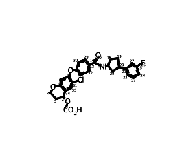 O=C(O)OC1CCOc2cc(Oc3ccc(C(=O)NC4CCC(c5cccc(F)c5)C4)cc3)c(Cl)cc21